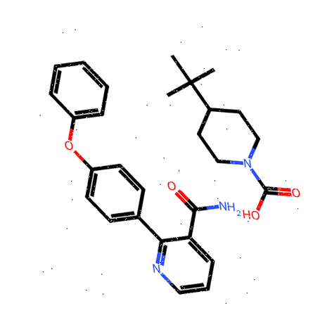 CC(C)(C)C1CCN(C(=O)O)CC1.NC(=O)c1cccnc1-c1ccc(Oc2ccccc2)cc1